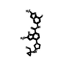 Cc1cn2cc(NC(=O)c3ccc(N4CC[C@@H](NC5(CF)CC5)C4)c4cc(C)[nH]c34)cc(F)c2n1